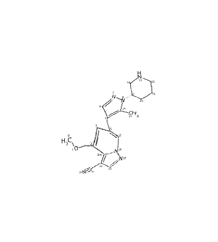 COc1cc(-c2cnn([C@H]3CCCNC3)c2C)cn2ncc(C#N)c12